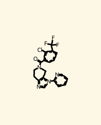 O=C(c1cccc(C(F)(F)F)c1Cl)N1CCc2ncn(-c3ccccn3)c2C1